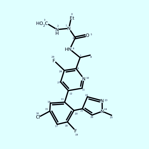 CCN(NC(=O)O)C(=O)NC(C)c1ncc(-c2cc(Cl)cc(F)c2-c2cnn(C)c2)cc1F